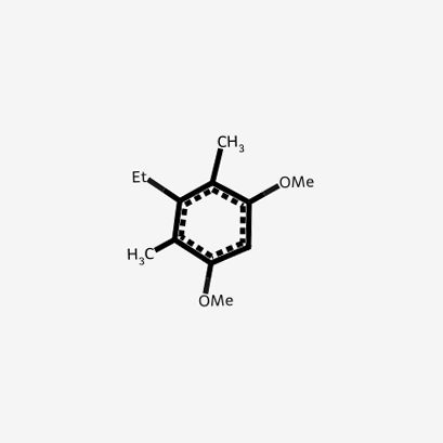 CCc1c(C)c(OC)cc(OC)c1C